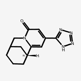 O=c1cc(-c2nnn[nH]2)cc2n1CC1CCC[C@@H]2C1